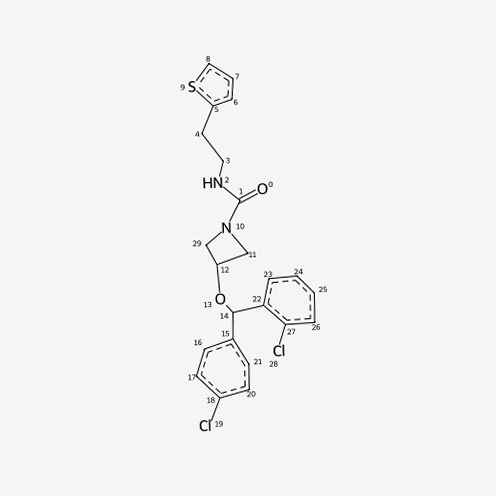 O=C(NCCc1cccs1)N1CC(OC(c2ccc(Cl)cc2)c2ccccc2Cl)C1